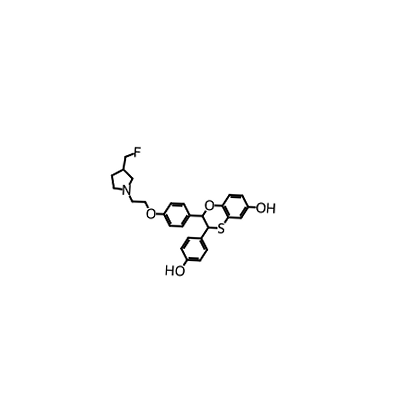 Oc1ccc(C2Sc3cc(O)ccc3OC2c2ccc(OCCN3CCC(CF)C3)cc2)cc1